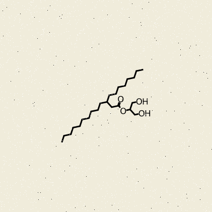 CCCCCCCCCCC(CCCCCCCC)CC(=O)OC(CO)CO